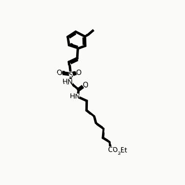 CCOC(=O)CCCCCCCNC(=O)NS(=O)(=O)C=Cc1cccc(C)c1